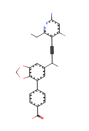 CCc1nc(N)cc(N)c1C#CC(C)c1cc2c(c(-c3ccc(C(=O)O)cc3)c1)OCO2